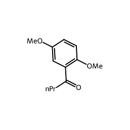 CCCC(=O)c1cc(OC)ccc1OC